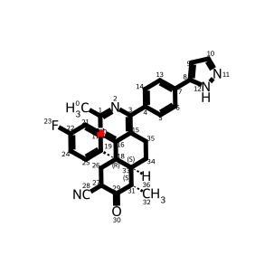 Cc1nc(-c2ccc(-c3ccn[nH]3)cc2)c2c(n1)[C@]1(c3ccc(F)cc3)CC(C#N)C(=O)[C@@H](C)[C@@H]1CC2